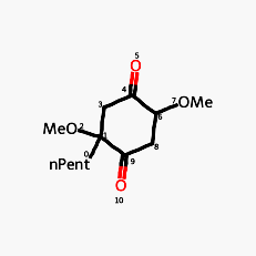 CCCCCC1(OC)CC(=O)C(OC)CC1=O